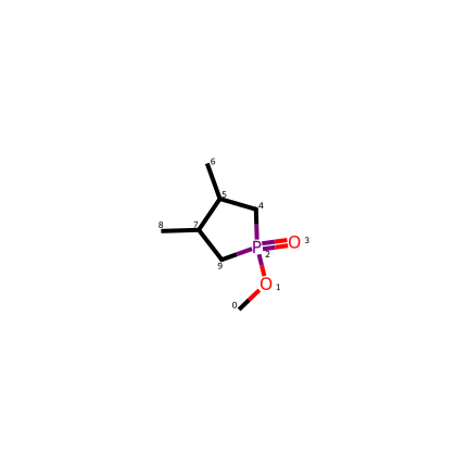 COP1(=O)CC(C)C(C)C1